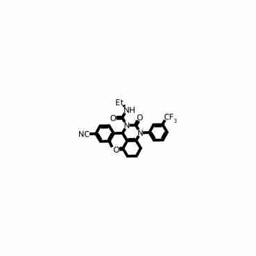 CCNC(=O)N1C(=O)N(c2cccc(C(F)(F)F)c2)C2=C(C(=O)CCC2)C1c1ccc(C#N)cc1C